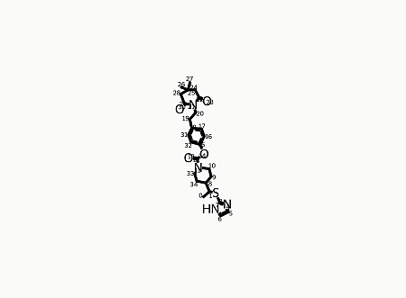 CC(Sc1ncc[nH]1)C1CCN(C(=O)Oc2ccc(CCN3C(=O)CC(C)(C)CC3=O)cc2)CC1